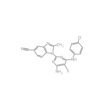 Cc1nc2cc(C#N)ccc2n1-c1nc(N)c(F)c(Nc2ccc(Cl)cc2)n1